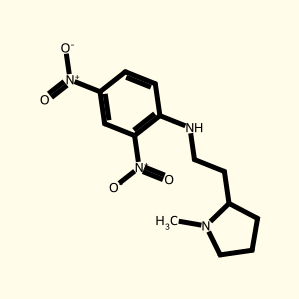 CN1CCCC1CCNc1ccc([N+](=O)[O-])cc1[N+](=O)[O-]